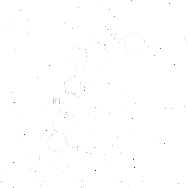 O=C(Cc1cc(F)cc(F)c1)Nc1cc(C2CCC(OC(=O)NC3CCOCC3)C2)[nH]n1